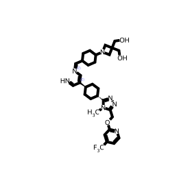 Cn1c(COc2cc(C(F)(F)F)ccn2)nnc1[C@H]1CC[C@H](/C(C=N)=C/N=C\C2CCC(N3CC(CO)(CO)C3)CC2)CC1